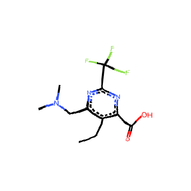 CCc1c(CN(C)C)nc(C(F)(F)F)nc1C(=O)O